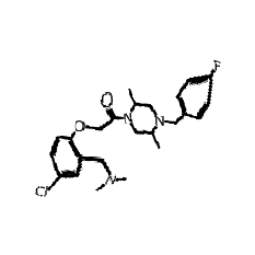 CC1CN(C(=O)COc2ccc(Cl)cc2CN(C)C)C(C)CN1Cc1ccc(F)cc1